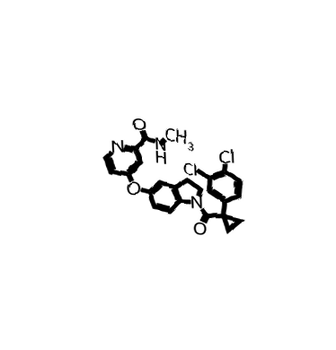 CNC(=O)c1cc(Oc2ccc3c(c2)CCN3C(=O)C2(c3ccc(Cl)c(Cl)c3)CC2)ccn1